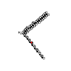 CO.ClCCl.ClCCl.ClCCl.ClCCl.ClCCl.ClCCl.ClCCl.ClCCl.ClCCl.ClCCl.ClCCl.ClCCl.ClCCl.ClCCl.ClCCl.ClCCl.ClCCl.ClCCl.ClCCl.ClCCl.ClCCl.ClCCl.ClCCl.ClCCl